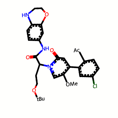 COc1cn(C(CCOC(C)(C)C)C(=O)Nc2ccc3c(c2)OCCN3)c(=O)cc1-c1cc(Cl)ccc1C(C)=O